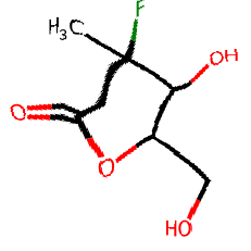 CC1(F)C(=O)OC(CO)C1O